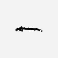 [N-]=[N+]=NCc1ccc(C(=O)NCCOCCOCCOCCOCCOCCOCCOCCN)cn1